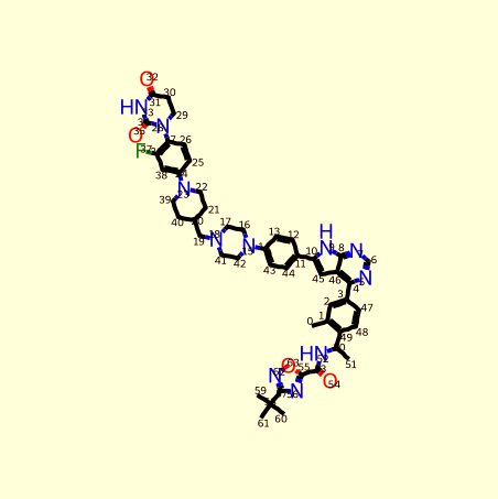 Cc1cc(-c2ncnc3[nH]c(-c4ccc(N5CCN(CC6CCN(c7ccc(N8CCC(=O)NC8=O)c(F)c7)CC6)CC5)cc4)cc23)ccc1C(C)NC(=O)c1nc(C(C)(C)C)no1